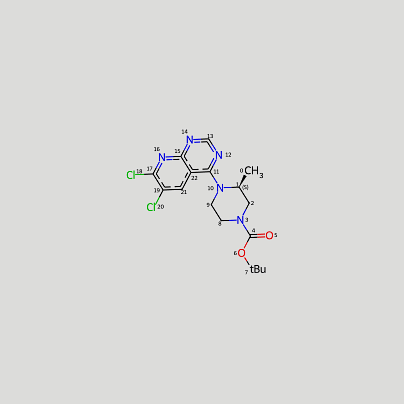 C[C@H]1CN(C(=O)OC(C)(C)C)CCN1c1ncnc2nc(Cl)c(Cl)cc12